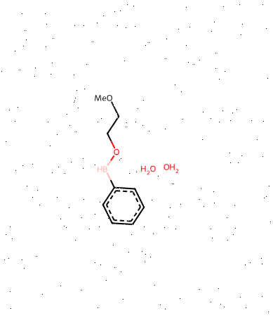 COCCOBc1ccccc1.O.O